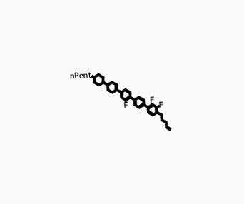 C=CCCCc1ccc(-c2ccc(-c3ccc(C4=CCC(C5CCC(CCCCC)CC5)CC4)cc3F)cc2)c(F)c1F